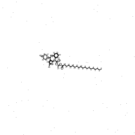 CCCCCCCCCCCCCCCCCCCC(=O)OC(C)OC(=O)N1c2ccccc2N=C(N2CCN(C)CC2)c2cc(C)sc21